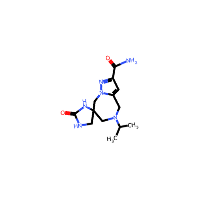 CC(C)N1Cc2cc(C(N)=O)nn2CC2(CNC(=O)N2)C1